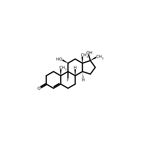 C[C@]12CCC(=O)C=C1CC[C@H]1[C@@H]3CC[C@@](C)(O)[C@@]3(C)C[C@H](O)C12F